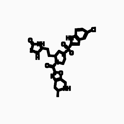 CC1Cc2nc(C(=O)N3CCN(S(=O)(=O)c4cc5cc(Cl)ccc5[nH]4)CC3CCC3NSC(=O)N3)oc2CN1